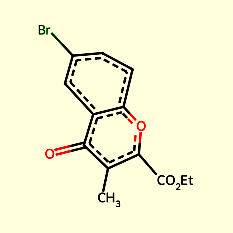 CCOC(=O)c1oc2ccc(Br)cc2c(=O)c1C